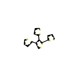 [c]1sc(-c2cccs2)c(-c2cccs2)c1-c1cccs1